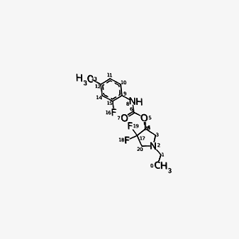 CCN1C[C@H](OC(=O)Nc2ccc(C)cc2F)C(F)(F)C1